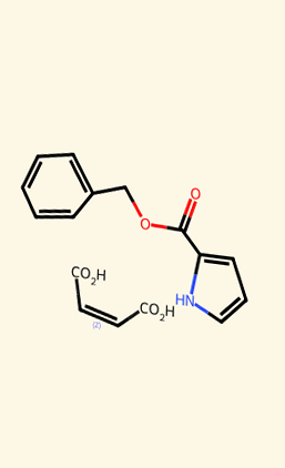 O=C(O)/C=C\C(=O)O.O=C(OCc1ccccc1)c1ccc[nH]1